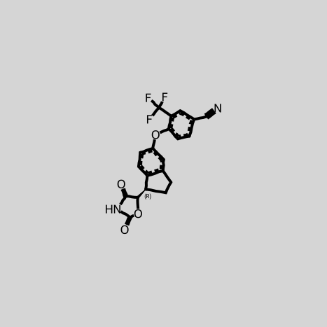 N#Cc1ccc(Oc2ccc3c(c2)CC[C@H]3C2OC(=O)NC2=O)c(C(F)(F)F)c1